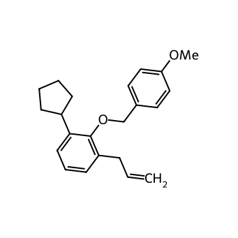 C=CCc1cccc(C2CCCC2)c1OCc1ccc(OC)cc1